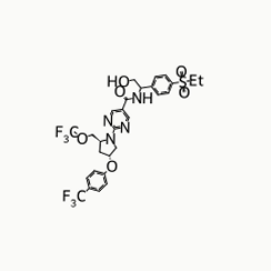 CCS(=O)(=O)c1ccc(C(CO)NC(=O)c2cnc(N3C[C@H](Oc4ccc(C(F)(F)F)cc4)C[C@H]3COC(F)(F)F)nc2)cc1